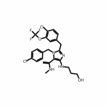 C=C(NC)c1c(NCCCO)nc(Cc2ccc(Cl)c(OC(F)(F)F)c2)n1Cc1ccc(Cl)cc1